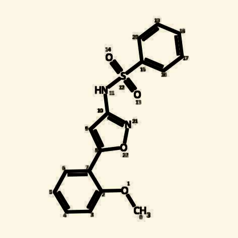 COc1ccccc1-c1cc(NS(=O)(=O)c2ccccc2)no1